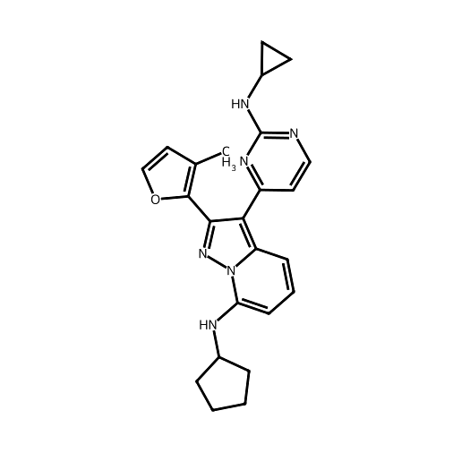 Cc1ccoc1-c1nn2c(NC3CCCC3)cccc2c1-c1ccnc(NC2CC2)n1